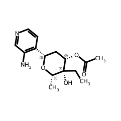 CC[C@@]1(O)[C@H](C)O[C@H](c2ccncc2N)C[C@@H]1OC(C)=O